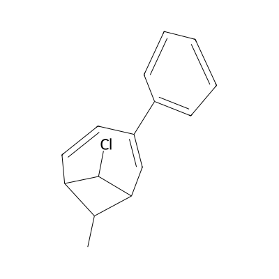 CC1C2C=CC(c3ccccc3)=CC1C2Cl